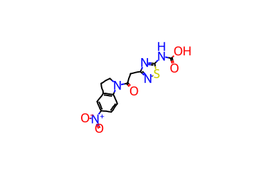 O=C(O)Nc1nc(CC(=O)N2CCc3cc([N+](=O)[O-])ccc32)ns1